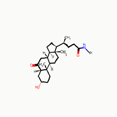 CC(C)NC(=O)CC[C@H](C)[C@@H]1CC[C@@H]2[C@H]3CC(=O)[C@H]4C[C@@H](O)CC[C@@]4(C)[C@@H]3CC[C@]21C